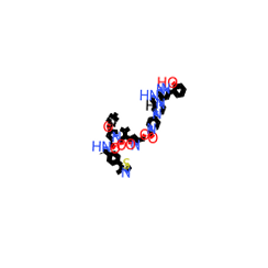 Cc1ncsc1-c1ccc([C@H](C)NC(=O)[C@H]2CC(O[Si](C)(C)C(C)(C)C)CN2C(=O)C(c2cc(COC(=O)N3CCC(N4CCN5c6cc(-c7ccccc7O)nnc6NC[C@H]5C4)CC3)no2)C(C)C)cc1